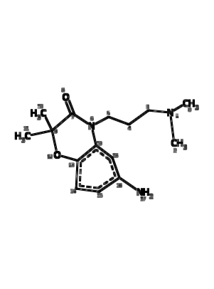 CN(C)CCCN1C(=O)C(C)(C)Oc2ccc(N)cc21